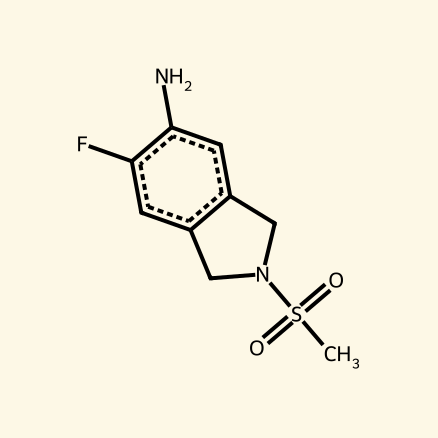 CS(=O)(=O)N1Cc2cc(N)c(F)cc2C1